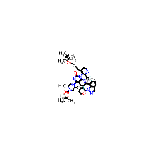 CC(C)c1nccc(CCCCO[Si](C)(C)C(C)(C)C)c1-n1c(=O)nc(N2C[C@@H](C)N(C(=O)OC(C)(C)C)C[C@@H]2C)c2cc(F)c(-c3c(F)ccc4cnn(C5CCCCO5)c34)nc21